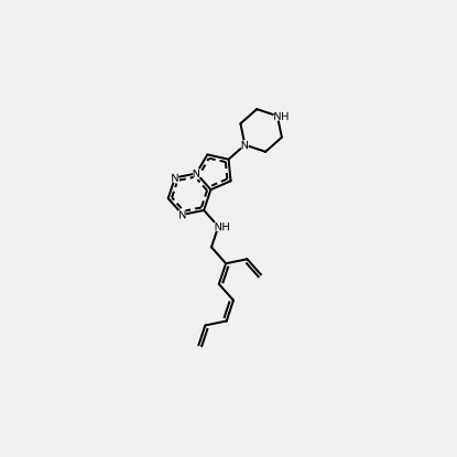 C=C/C=C\C=C(/C=C)CNc1ncnn2cc(N3CCNCC3)cc12